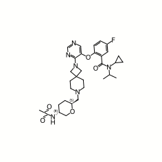 CC(C)N(C(=O)c1cc(F)ccc1Oc1cncnc1N1CC2(CCN(C[C@@H]3CC[C@@H](NS(C)(=O)=O)CO3)CC2)C1)C1CC1